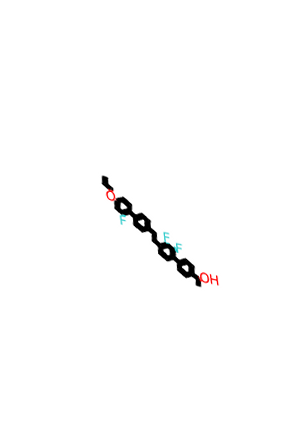 C=CCOc1ccc(-c2ccc(CCc3ccc(-c4ccc(C(C)O)cc4)c(F)c3F)cc2)c(F)c1